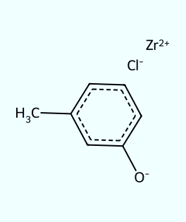 Cc1cccc([O-])c1.[Cl-].[Zr+2]